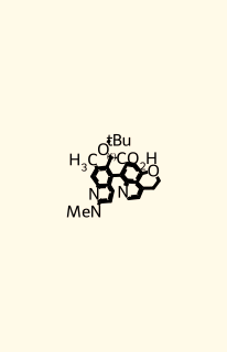 CNc1ccc2c(-c3ccc4c5c(ccnc35)CCO4)c([C@H](OC(C)(C)C)C(=O)O)c(C)cc2n1